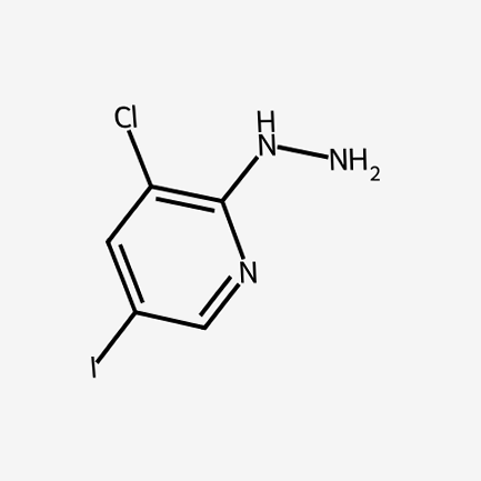 NNc1ncc(I)cc1Cl